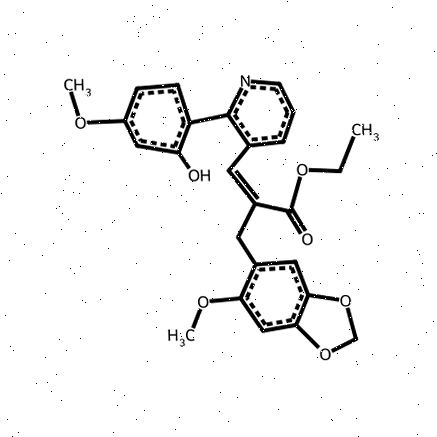 CCOC(=O)C(=Cc1cccnc1-c1ccc(OC)cc1O)Cc1cc2c(cc1OC)OCO2